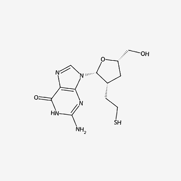 Nc1nc2c(ncn2[C@@H]2O[C@H](CO)C[C@@H]2CCS)c(=O)[nH]1